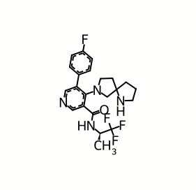 C[C@@H](NC(=O)c1cncc(-c2ccc(F)cc2)c1N1CCC2(CCCN2)C1)C(F)(F)F